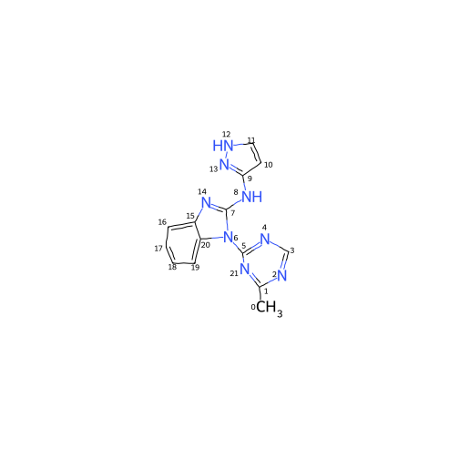 Cc1ncnc(-n2c(Nc3cc[nH]n3)nc3ccccc32)n1